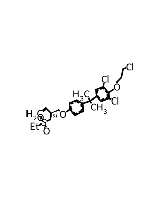 C=C[C@@H](COc1ccc(C(C)(C)c2cc(Cl)c(OCCCCl)c(Cl)c2)cc1)CS(=O)(=O)CC